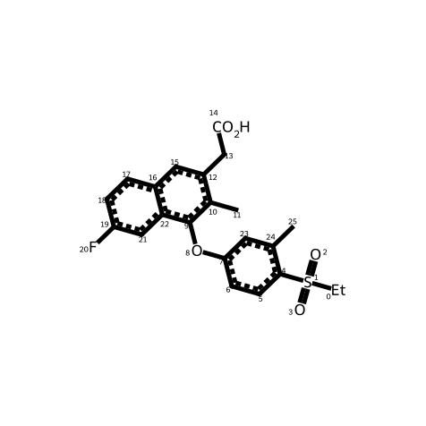 CCS(=O)(=O)c1ccc(Oc2c(C)c(CC(=O)O)cc3ccc(F)cc23)cc1C